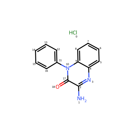 Cl.Nc1nc2ccccc2n(-c2ccccc2)c1=O